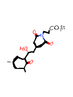 CCOC(=O)CCN1C(=O)CC(C[C@@H](O)C2C[C@@H](C)CC(C)C2=O)CC1=O